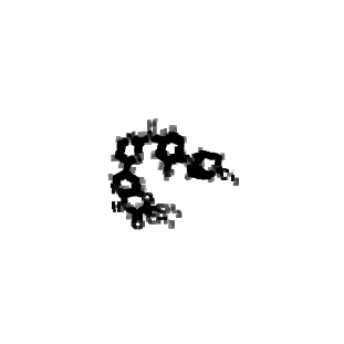 CN1CC2CC1CN2c1ccc(Nc2nccc(-c3cnc4c(c3)OC(C)(C)C(=O)N4)n2)cc1F